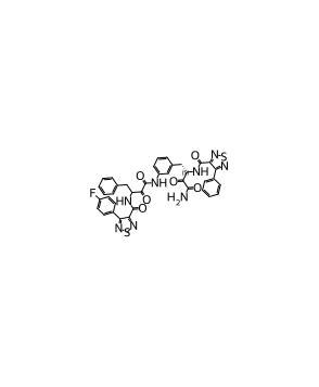 NC(=O)C(=O)[C@H](Cc1cccc(NC(=O)C(=O)C(Cc2ccccc2)NC(=O)c2nsnc2-c2ccc(F)cc2)c1)NC(=O)c1nsnc1-c1ccccc1